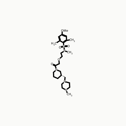 COc1cc(C)c(S(=O)(=O)N(C)CCOCC(=O)N2CCC[C@@H](CN3CCN(C)CC3)C2)c(C)c1